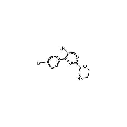 Nc1ccc(C2CNCCO2)nc1-c1ccc(Br)cc1